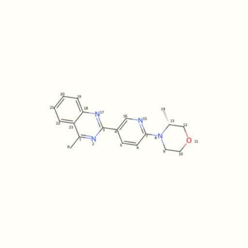 Cc1nc(-c2ccc(N3CCOC[C@H]3C)nc2)nc2ccccc12